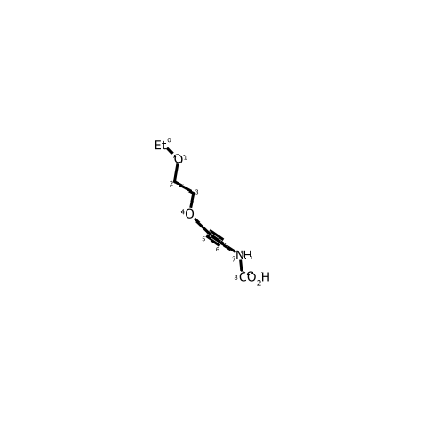 CCOCCOC#CNC(=O)O